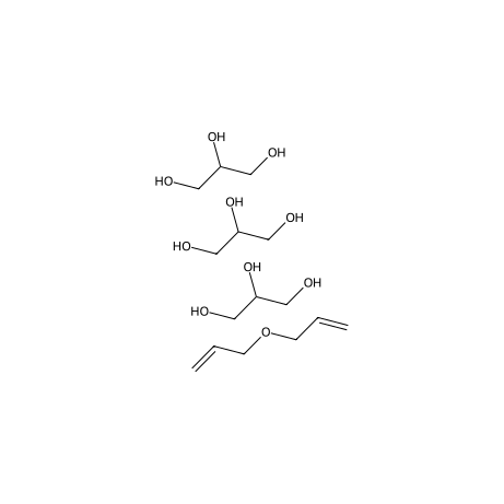 C=CCOCC=C.OCC(O)CO.OCC(O)CO.OCC(O)CO